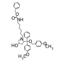 COc1ccc(COC(c2ccccc2)(c2ccc(OC)cc2)C2CC(O)CN2CCCCCCNC(=O)OCc2ccccc2)cc1